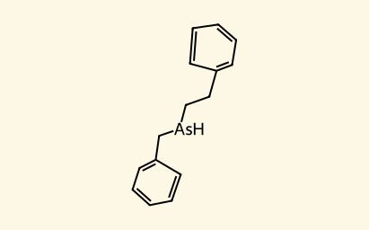 c1ccc(CC[AsH]Cc2ccccc2)cc1